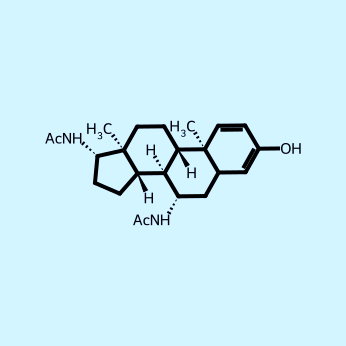 CC(=O)N[C@H]1CC2C=C(O)C=C[C@]2(C)[C@H]2CC[C@]3(C)[C@@H](NC(C)=O)CC[C@H]3[C@H]12